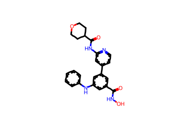 O=C(NO)c1cc(Nc2ccccc2)cc(-c2ccnc(NC(=O)C3CCOCC3)c2)c1